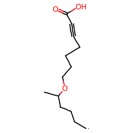 [CH2]CCCC(C)OCCCCC#CC(=O)O